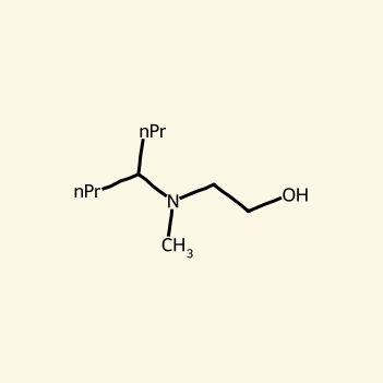 CCCC(CCC)N(C)CCO